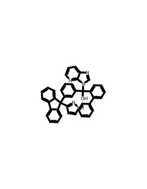 OC(c1cccc(C2(c3cc[nH]n3)c3ccccc3-c3ccccc32)c1)(c1ccccc1-c1ccccc1)n1cnc2cccnc21